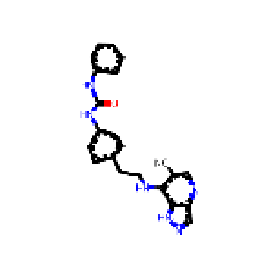 N#Cc1cnc2cn[nH]c2c1NCCc1ccc(NC(=O)Nc2ccccc2)cc1